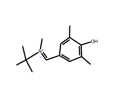 Cc1cc(/C=[N+](\C)C(C)(C)C)cc(C)c1O